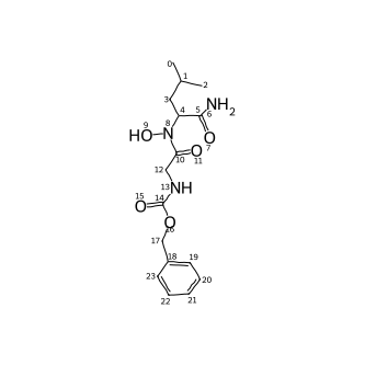 CC(C)CC(C(N)=O)N(O)C(=O)CNC(=O)OCc1ccccc1